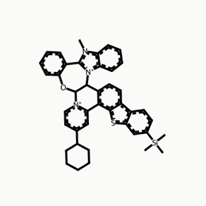 Cn1c2[n+](c3ccccc31)C1c3ccc4c(sc5cc([Si](C)(C)C)ccc54)c3-c3cc(C4CCCCC4)cc[n+]3C1Oc1ccccc1-2